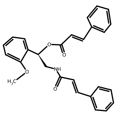 COc1ccccc1[C@H](CNC(=O)/C=C/c1ccccc1)OC(=O)/C=C/c1ccccc1